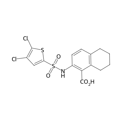 O=C(O)c1c(NS(=O)(=O)c2cc(Cl)c(Cl)s2)ccc2c1CCCC2